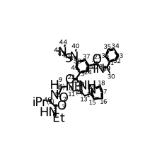 CCNC(=O)[C@@H](NC(=O)[C@H](C)NC[C@H](Cc1ccccn1)NC(=O)c1cc(C(=O)N[C@H](C)c2ccccc2)cc(N(C)SN(C)C)c1)C(C)C